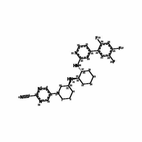 N#Cc1ncc(N2CCC[C@H](N[C@@H]3CCCC[C@H]3Nc3cc(-c4cc(F)c(F)cc4F)ccn3)C2)cn1